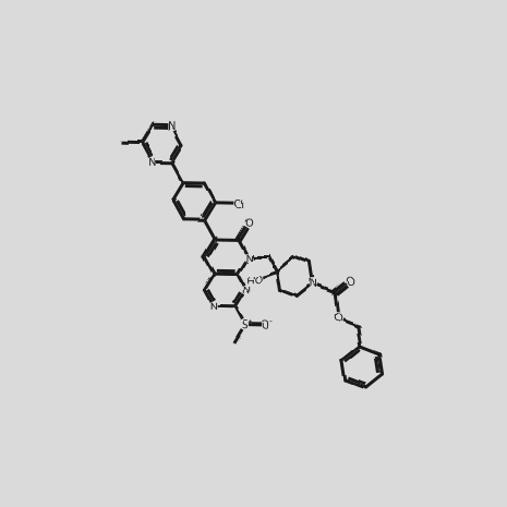 Cc1cncc(-c2ccc(-c3cc4cnc([S+](C)[O-])nc4n(CC4(O)CCN(C(=O)OCc5ccccc5)CC4)c3=O)c(Cl)c2)n1